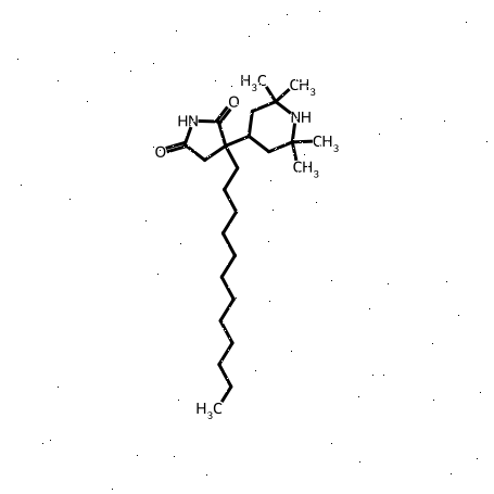 CCCCCCCCCCCCC1(C2CC(C)(C)NC(C)(C)C2)CC(=O)NC1=O